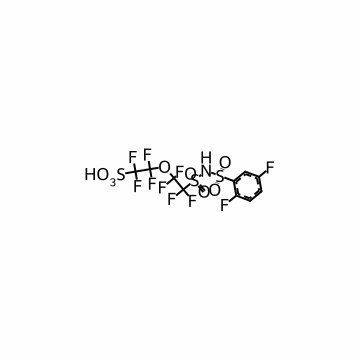 O=S(=O)(NS(=O)(=O)C(F)(F)C(F)(F)OC(F)(F)C(F)(F)S(=O)(=O)O)c1cc(F)ccc1F